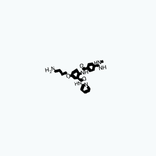 CNC(=N)c1ccc(C(=O)Nc2ccc(OCCCCN)cc2C(=O)Nc2ccccn2)cc1